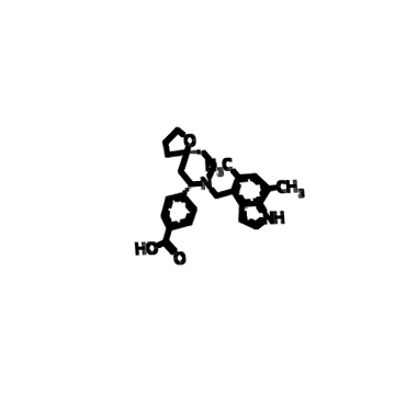 Cc1cc(C)c2[nH]ccc2c1CN1CC[C@@]2(CCCO2)C[C@H]1c1ccc(C(=O)O)cc1